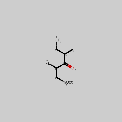 CCCCCCCCCC(CC)C(=O)C(C)CC(F)(F)F